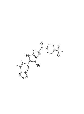 Cc1c(-c2[nH]c3sc(C(=O)N4CCN(S(C)(=O)=O)CC4)nc3c2C(C)C)cn2ncnc2c1C